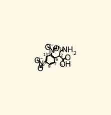 NCC(C(=O)O)c1ccc([N+](=O)[O-])cc1[N+](=O)[O-]